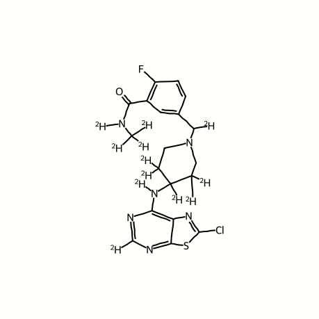 [2H]c1nc(N([2H])C2([2H])C([2H])([2H])CN(C([2H])c3ccc(F)c(C(=O)N([2H])C([2H])([2H])[2H])c3)CC2([2H])[2H])c2nc(Cl)sc2n1